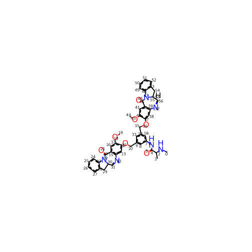 CNC(C)C(=O)Nc1cc(COc2cc3c(cc2OC)C(=O)N2c4ccccc4CC2C=N3)cc(COc2cc3c(cc2OC)C(=O)N2c4ccccc4C[C@H]2C=N3)c1